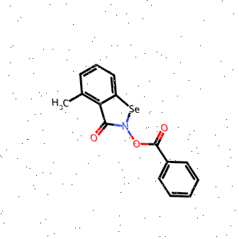 Cc1cccc2[se]n(OC(=O)c3ccccc3)c(=O)c12